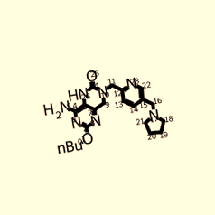 CCCCOc1nc(N)c2c(n1)CN(Cc1ccc(CN3CCCC3)cn1)C(=O)N2